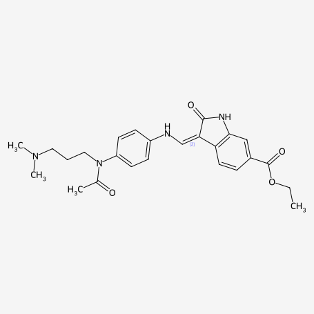 CCOC(=O)c1ccc2c(c1)NC(=O)/C2=C\Nc1ccc(N(CCCN(C)C)C(C)=O)cc1